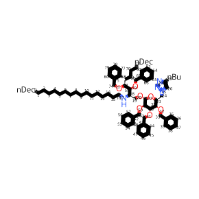 CCCCCCCCCCCCCCCCCCCCCCCCCCN[C@@H](CO[C@@H]1O[C@H](Cn2cc(CCCC)nn2)[C@H](OCc2ccccc2)[C@H](OCc2ccccc2)[C@H]1OCc1ccccc1)[C@H](OCc1ccccc1)[C@@H](CCCCCCCCCCCCCC)OCc1ccccc1